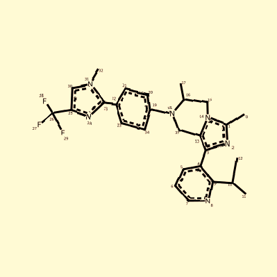 Cc1nc(-c2cccnc2C(C)C)c2n1CC(C)N(c1ccc(-c3nc(C(F)(F)F)cn3C)cc1)C2